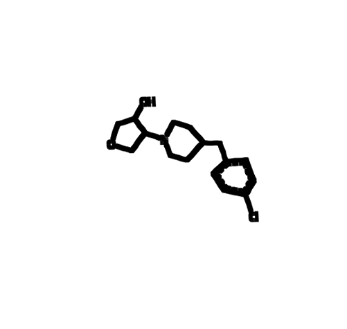 OC1COCC1N1CCC(Cc2ccc(Cl)cc2)CC1